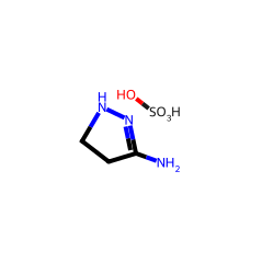 NC1=NNCC1.O=S(=O)(O)O